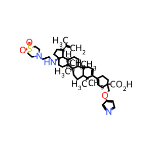 C=C(C)[C@@H]1CCC2(NCCN3CCS(=O)(=O)CC3)CC[C@]3(C)[C@H](CCC4[C@@]5(C)CC=C(C6=CCC(COc7ccncc7)(C(=O)O)CC6)C(C)(C)C5CC[C@]43C)C12